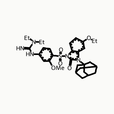 CCOc1ccc2c(c1)n(C13CC4CC(CC(C4)C1)C3)c(=O)n2S(=O)(=O)c1ccc(NC(=N)N(CC)CC)cc1OC